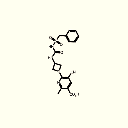 Cc1nc(N2CC(NC(=O)NS(=O)(=O)Cc3ccccc3)C2)c(C#N)cc1C(=O)O